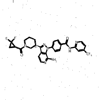 Nc1nccc2c([C@@H]3CCCN(C(=O)C4CC4(F)F)C3)nn(-c3ccc(C(=O)Nc4cc(C(F)(F)F)ccn4)cc3)c12